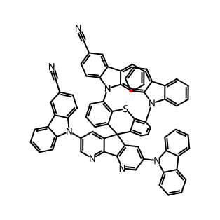 N#Cc1ccc2c(c1)c1ccccc1n2-c1cnc2c(c1)C1(c3cc(-n4c5ccccc5c5ccccc54)cnc3-2)c2cccc(-n3c4ccccc4c4ccccc43)c2Sc2c(-n3c4ccccc4c4cc(C#N)ccc43)cccc21